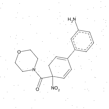 Nc1cccc(C2=CCC(C(=O)N3CCOCC3)([N+](=O)[O-])C=C2)c1